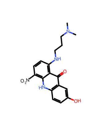 CN(C)CCCNc1ccc([N+](=O)[O-])c2[nH]c3ccc(O)cc3c(=O)c12